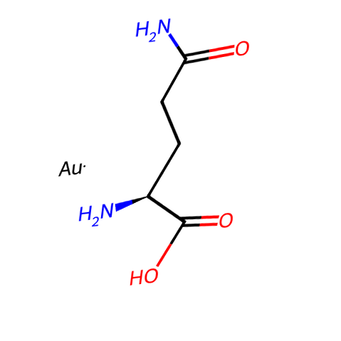 NC(=O)CC[C@H](N)C(=O)O.[Au]